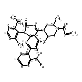 C=CC(=O)N1CC(C)N(c2nc(=O)n(-c3c(C)ccnc3C(C)C)c3nc(-c4ccccc4C(F)F)c(F)cc23)CC1C